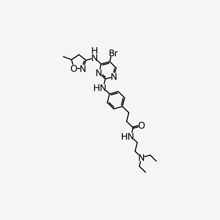 CCN(CC)CCNC(=O)CCc1ccc(Nc2ncc(Br)c(NC3=NOC(C)C3)n2)cc1